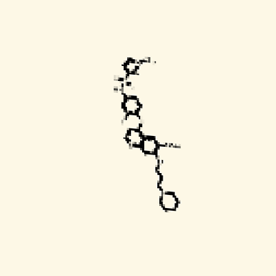 COc1cc2c(Oc3ccc(NS(=O)(=O)c4ccn(C)n4)cc3F)ccnc2cc1OCCCN1CCCCC1